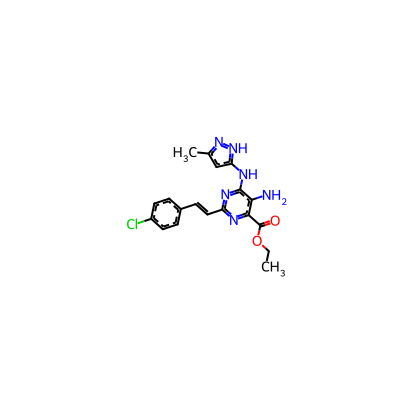 CCOC(=O)c1nc(C=Cc2ccc(Cl)cc2)nc(Nc2cc(C)n[nH]2)c1N